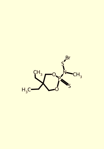 CCC1(CC)COP(=S)(N(C)SBr)OC1